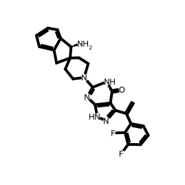 C=C(c1cccc(F)c1F)c1n[nH]c2nc(N3CCC4(CC3)Cc3ccccc3[C@H]4N)[nH]c(=O)c12